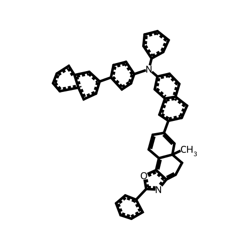 CC12C=C(c3ccc4ccc(N(c5ccccc5)c5ccc(-c6ccc7ccccc7c6)cc5)cc4c3)C=CC1=c1oc(-c3ccccc3)nc1=CC2